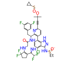 CC[S+]([O-])Nc1n[nH]c2c(-c3ccc(C#CC(C)(C)OOSC4CC4)nc3C(Cc3cc(F)cc(F)c3)NC(=O)CNC3=C(C(=N)C(F)F)CCC3(F)F)ccc(Cl)c12